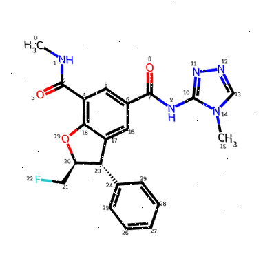 CNC(=O)c1cc(C(=O)Nc2nncn2C)cc2c1O[C@H](CF)[C@H]2c1ccccc1